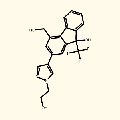 OCCn1cc(-c2cc(CO)c3c(c2)C(O)(C(F)(F)F)c2ccccc2-3)cn1